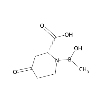 CB(O)N1CCC(=O)C[C@@H]1C(=O)O